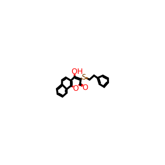 O=c1oc2c(ccc3ccccc32)c(O)c1SCCc1ccccc1